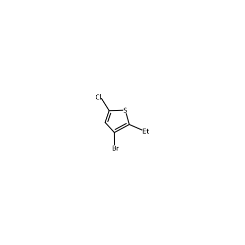 CCc1sc(Cl)cc1Br